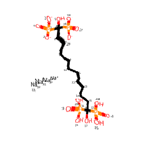 O=P([O-])([O-])C(O)(CCCCCCCCCCC(O)(P(=O)(O)O)P(=O)(O)O)P(=O)([O-])[O-].[Na+].[Na+].[Na+].[Na+]